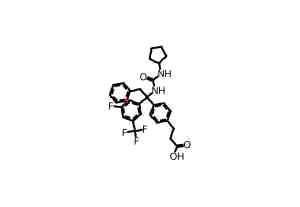 O=C(O)CCc1ccc(C(Cc2ccccc2)(NC(=O)NC2CCCC2)c2cc(F)cc(C(F)(F)F)c2)cc1